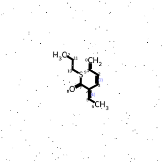 C=C/C=C\C(=C/C)C(=O)SCCC